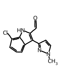 Cn1ccc(-c2c(C=O)[nH]c3c(Cl)cccc23)n1